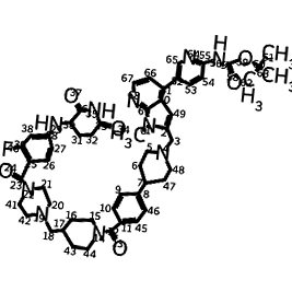 Cn1c(CN2CCC(c3ccc(C(=O)N4CCC(CN5CCN(C(=O)c6ccc(NC7CCC(=O)NC7=O)cc6F)CC5)CC4)cc3)CC2)cc2c(-c3ccc(NC(=O)OC(C)(C)C)nc3)ccnc21